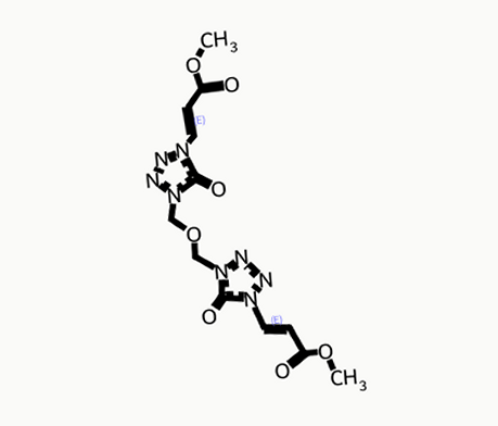 COC(=O)/C=C/n1nnn(COCn2nnn(/C=C/C(=O)OC)c2=O)c1=O